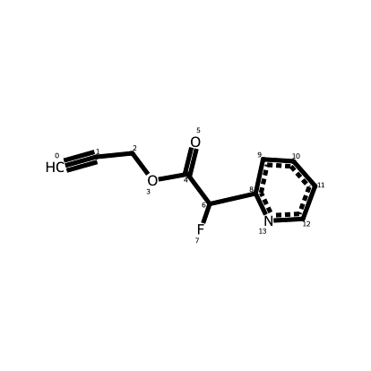 C#CCOC(=O)C(F)c1ccccn1